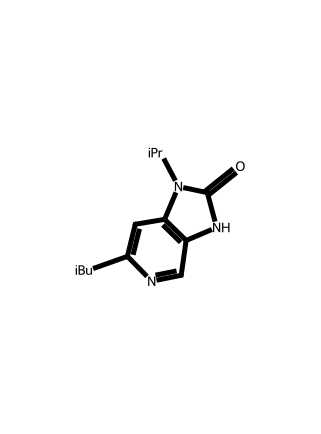 CCC(C)c1cc2c(cn1)[nH]c(=O)n2C(C)C